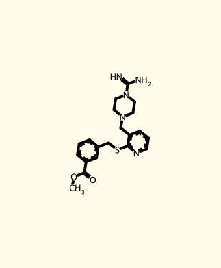 COC(=O)c1cccc(CSc2ncccc2CN2CCN(C(=N)N)CC2)c1